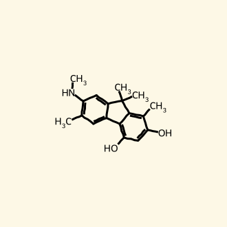 CNc1cc2c(cc1C)-c1c(O)cc(O)c(C)c1C2(C)C